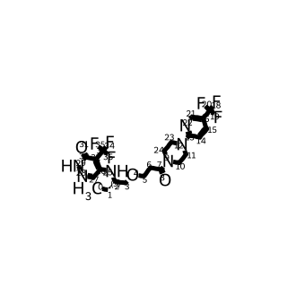 CC[C@@H](COCCC(=O)N1CCN(c2ccc(C(F)(F)F)cn2)CC1)Nc1cn[nH]c(=O)c1C(F)(F)F